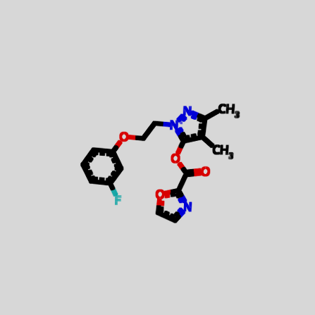 Cc1nn(CCOc2cccc(F)c2)c(OC(=O)c2ncco2)c1C